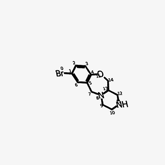 Brc1ccc2c(c1)CN1CCNCC1CO2